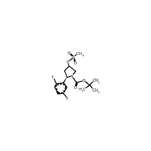 CC(C)(C)OC(=O)N1C[C@H](OS(C)(=O)=O)C[C@@H]1c1cc(F)ccc1F